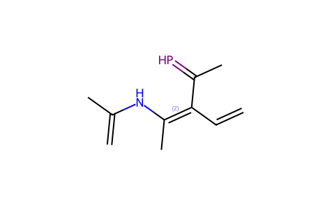 C=C/C(C(C)=P)=C(\C)NC(=C)C